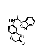 CC(Nc1ccc2c(c1)NC(=O)CO2)n1nnc2ccccc21